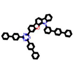 c1ccc(-c2ccc(-c3cccc(-n4c5ccccc5c5ccc6c7ccc(-c8nc(-c9ccc(-c%10ccccc%10)cc9)nc(-c9ccc(-c%10ccccc%10)cc9)n8)cc7oc6c54)c3)cc2)cc1